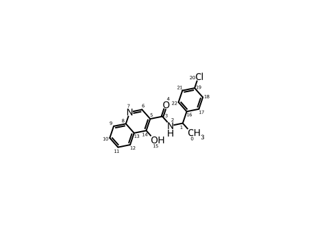 CC(NC(=O)c1cnc2ccccc2c1O)c1ccc(Cl)cc1